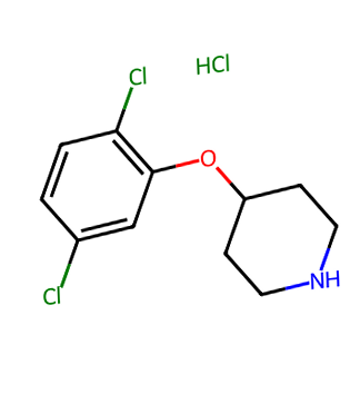 Cl.Clc1ccc(Cl)c(OC2CCNCC2)c1